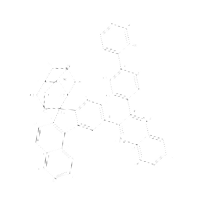 c1ccc(-c2ccc(-c3nc4ccccc4nc3-c3ccc4c(c3)-c3c(ccc5ccccc35)C43C4CC5CC(C4)CC3C5)cc2)cc1